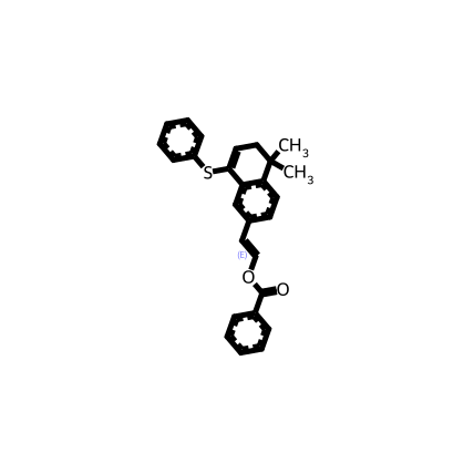 CC1(C)CC=C(Sc2ccccc2)c2cc(/C=C/OC(=O)c3ccccc3)ccc21